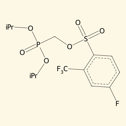 CC(C)OP(=O)(COS(=O)(=O)c1ccc(F)cc1C(F)(F)F)OC(C)C